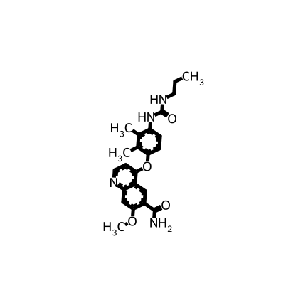 CCCNC(=O)Nc1ccc(Oc2ccnc3cc(OC)c(C(N)=O)cc23)c(C)c1C